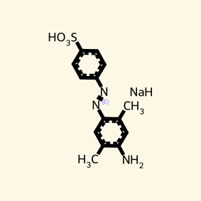 Cc1cc(/N=N/c2ccc(S(=O)(=O)O)cc2)c(C)cc1N.[NaH]